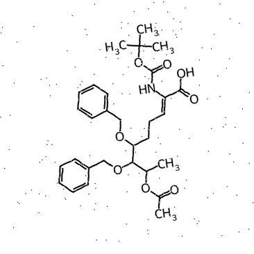 CC(=O)OC(C)C(OCc1ccccc1)C(CCC=C(NC(=O)OC(C)(C)C)C(=O)O)OCc1ccccc1